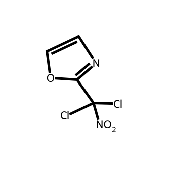 O=[N+]([O-])C(Cl)(Cl)c1ncco1